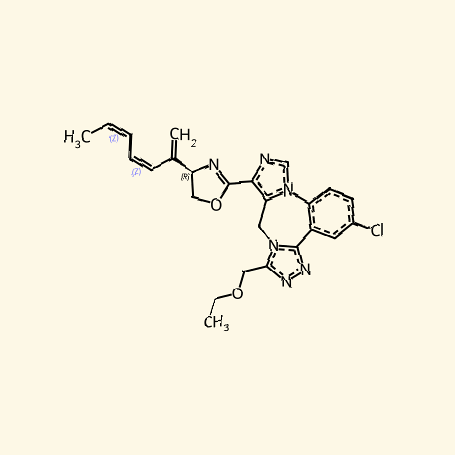 C=C(/C=C\C=C/C)[C@@H]1COC(c2ncn3c2Cn2c(COCC)nnc2-c2cc(Cl)ccc2-3)=N1